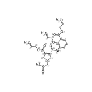 C=CCOC(=O)c1cccc(NC(=O)[C@@H]2C[C@@H](CC(=O)S)CN2C(=O)OCC=C)c1OCC=C